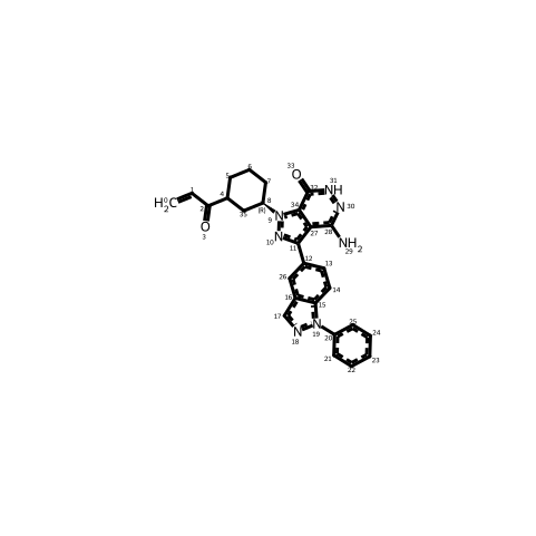 C=CC(=O)C1CCC[C@@H](n2nc(-c3ccc4c(cnn4-c4ccccc4)c3)c3c(N)n[nH]c(=O)c32)C1